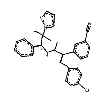 CC(N[C@@H](c1ccccc1)C(C)(C)n1cccn1)C(Cc1ccc(Cl)cc1)c1cccc(C#N)c1